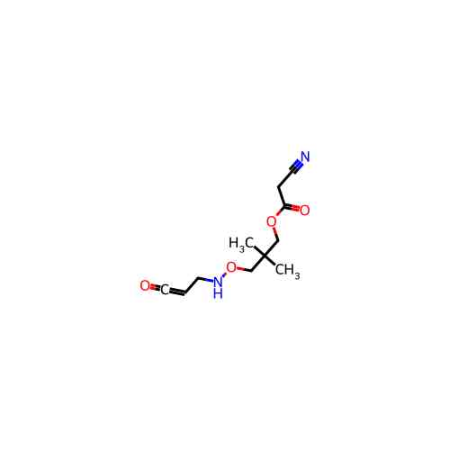 CC(C)(CONCC=C=O)COC(=O)CC#N